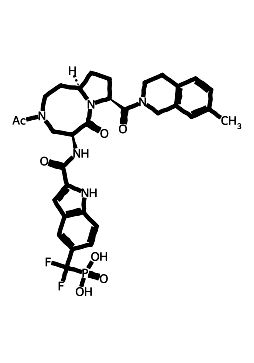 CC(=O)N1CC[C@H]2CC[C@@H](C(=O)N3CCc4ccc(C)cc4C3)N2C(=O)[C@@H](NC(=O)c2cc3cc(C(F)(F)P(=O)(O)O)ccc3[nH]2)C1